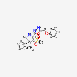 CCS(=O)(=O)c1cc(-c2ccccc2C(F)(F)F)cnc1-c1nnc(COc2ccccc2)o1